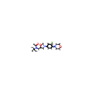 CC(=O)N(CC1CN(c2ccc(N3CCOCC3)c(F)c2)CO1)C(C)(C)C